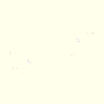 O=C(O)N(CCCCCCN(CC(F)(F)F)C(=O)O)CC(F)(F)F